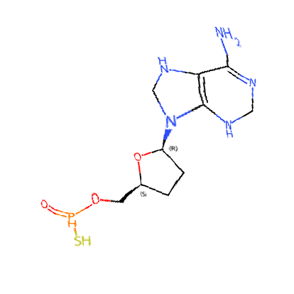 NC1=NCNC2=C1NCN2[C@H]1CC[C@@H](CO[PH](=O)S)O1